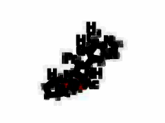 CC(=O)CCN1CC2CC[C@H](C1)N2c1ccc2[nH]c(-c3cn4ncnc4c(C)c3C)c(C(C)C)c2n1